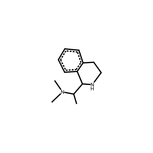 CC(C1NCCc2ccccc21)N(C)C